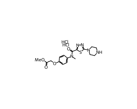 COC(=O)COc1ccc(N(C)C(=O)c2nnc(N3CCNCC3)s2)cc1.Cl.Cl